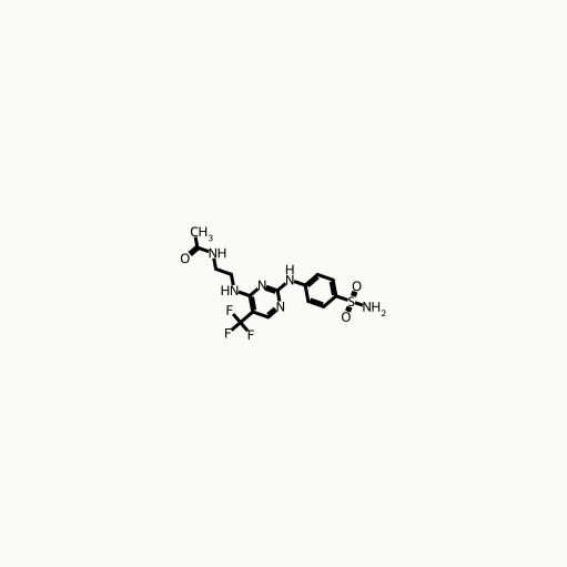 CC(=O)NCCNc1nc(Nc2ccc(S(N)(=O)=O)cc2)ncc1C(F)(F)F